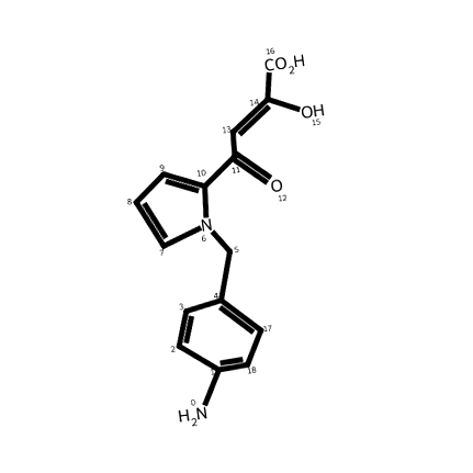 Nc1ccc(Cn2cccc2C(=O)C=C(O)C(=O)O)cc1